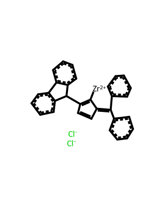 [Cl-].[Cl-].[Zr+2][C]1=C(C2c3ccccc3-c3ccccc32)C=CC1=C(c1ccccc1)c1ccccc1